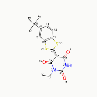 CCN1C(=O)NC(=O)/C(=C2\Sc3ccc(C(C)(C)C)cc3S2)C1=O